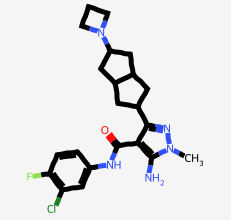 Cn1nc(C2CC3CC(N4CCC4)CC3C2)c(C(=O)Nc2ccc(F)c(Cl)c2)c1N